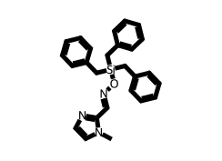 Cn1ccnc1C=NO[Si](Cc1ccccc1)(Cc1ccccc1)Cc1ccccc1